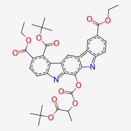 CCOC(=O)c1ccc2c(c1)=c1cc3c(c(OC(=O)OC(C)C(=O)OC(C)(C)C)c1N=2)=Nc1ccc(C(=O)OCC)c(C(=O)OC(C)(C)C)c1-3